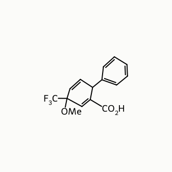 COC1(C(F)(F)F)C=CC(c2ccccc2)C(C(=O)O)=C1